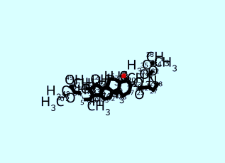 CCO[C@@H]([C@H]1C[C@@H](C)[C@H]2[C@H](O1)[C@H](O)[C@@]1(C)[C@@H]3CC[C@H]4C(C)(C)[C@@H](OC(=O)C5CCN5C(=O)OC(C)(C)C)CCC45C[C@@]35CC[C@]21C)C(C)(C)O